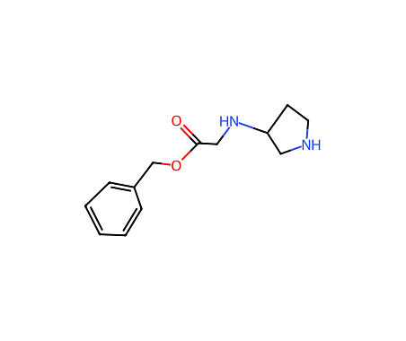 O=C(CNC1CCNC1)OCc1ccccc1